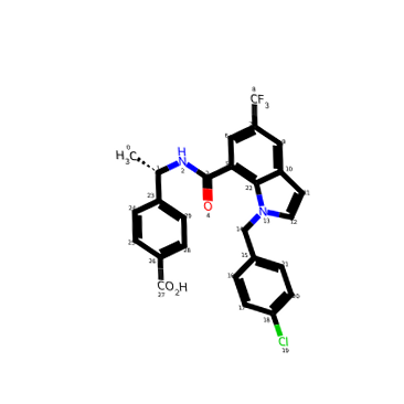 C[C@H](NC(=O)c1cc(C(F)(F)F)cc2ccn(Cc3ccc(Cl)cc3)c12)c1ccc(C(=O)O)cc1